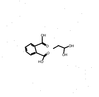 CCC(O)O.O=C(O)c1ccccc1C(=O)O